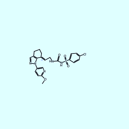 COc1ccc(-n2ncc3c2/C(=C/CNC(=O)NS(=O)(=O)c2ccc(Cl)cc2)CCC3)cn1